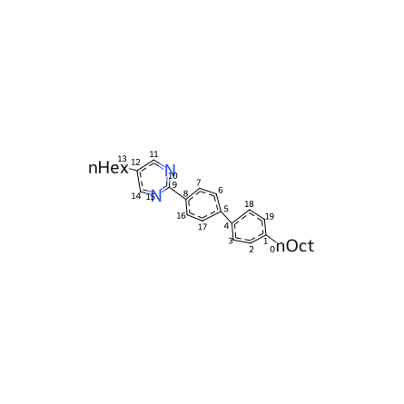 CCCCCCCCc1ccc(-c2ccc(-c3ncc(CCCCCC)cn3)cc2)cc1